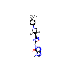 COc1ccc(N2C[C@@H]3C(c4noc(Cn5cnc6ncn(C)c6c5=O)n4)[C@@H]3C2)cc1